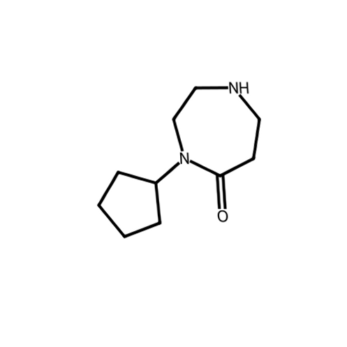 O=C1CCNCCN1C1CCCC1